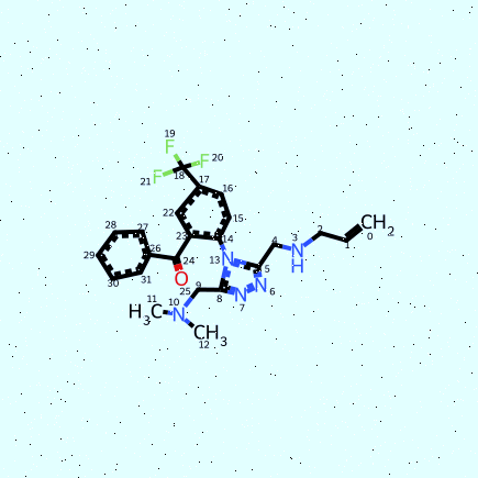 C=CCNCc1nnc(CN(C)C)n1-c1ccc(C(F)(F)F)cc1C(=O)c1ccccc1